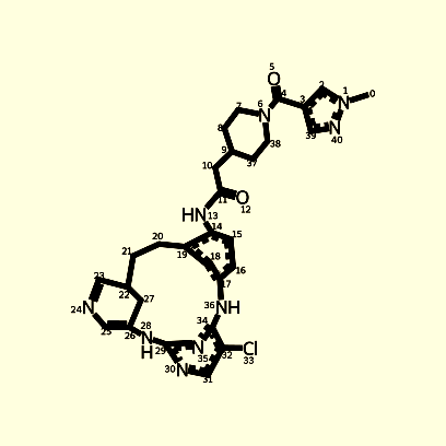 Cn1cc(C(=O)N2CCC(CC(=O)Nc3ccc4cc3CCC3C=NC=C(C3)Nc3ncc(Cl)c(n3)N4)CC2)cn1